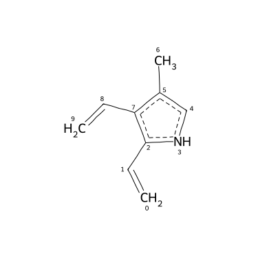 C=Cc1[nH]cc(C)c1C=C